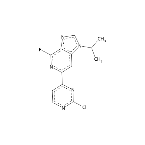 CC(C)n1cnc2c(F)nc(-c3ccnc(Cl)n3)cc21